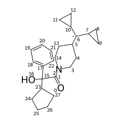 O=C(N1CCC([C](C2CC2)C2CC2)CC1)C(O)(c1ccccc1)C1CCCC1